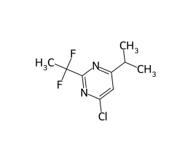 CC(C)c1cc(Cl)nc(C(C)(F)F)n1